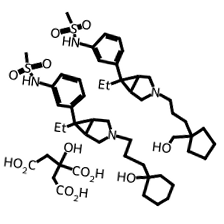 CCC1(c2cccc(NS(C)(=O)=O)c2)C2CN(CCCC3(CO)CCCC3)CC21.CCC1(c2cccc(NS(C)(=O)=O)c2)C2CN(CCCC3(O)CCCCC3)CC21.O=C(O)CC(O)(CC(=O)O)C(=O)O